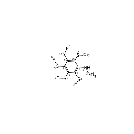 NNc1c(SF)c(SF)c(SF)c(SF)c1SF